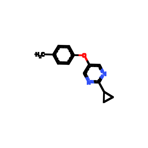 [CH2]c1ccc(Oc2cnc(C3CC3)nc2)cc1